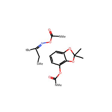 CNC(=O)ON=C(CSC)C(C)(C)C.CNC(=O)Oc1cccc2c1OC(C)(C)O2